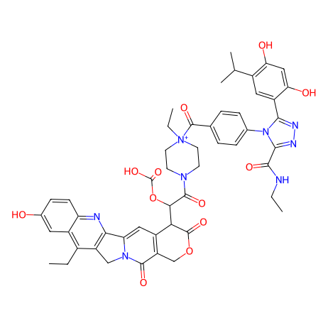 CCNC(=O)c1nnc(-c2cc(C(C)C)c(O)cc2O)n1-c1ccc(C(=O)[N+]2(CC)CCN(C(=O)C(OC(=O)O)C3C(=O)OCc4c3cc3n(c4=O)Cc4c-3nc3ccc(O)cc3c4CC)CC2)cc1